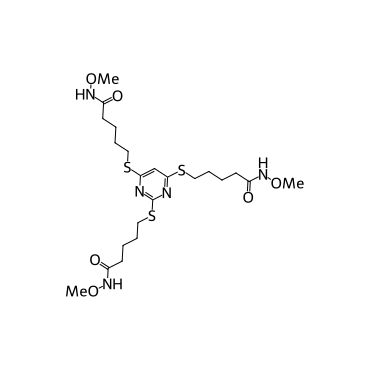 CONC(=O)CCCCSc1cc(SCCCCC(=O)NOC)nc(SCCCCC(=O)NOC)n1